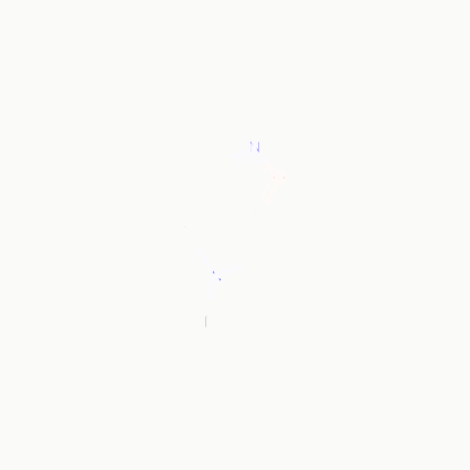 CC(C)N1Cc2cnoc2C1